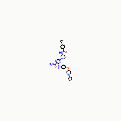 NC(=O)c1ncc(N2CCC[C@@H](NC(=O)c3ccc(C4CC4)cc3)C2)nc1Nc1ccc(OC2CCN(C3CCCC3)CC2)cc1